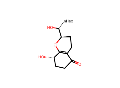 CCCCCC[C@@H](O)[C@H]1CCC2=C(O1)[C@@H](O)CCC2=O